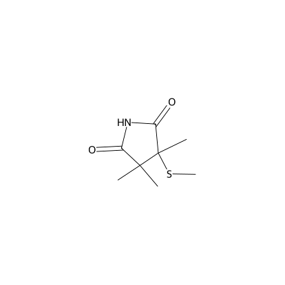 CSC1(C)C(=O)NC(=O)C1(C)C